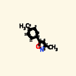 Cc1ccc(-c2cc(C)no2)cc1